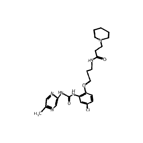 Cc1cnc(NC(=O)Nc2cc(Cl)ccc2OCCCNC(=O)CCN2CCCCC2)cn1